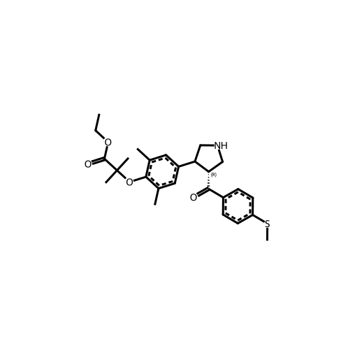 CCOC(=O)C(C)(C)Oc1c(C)cc(C2CNC[C@@H]2C(=O)c2ccc(SC)cc2)cc1C